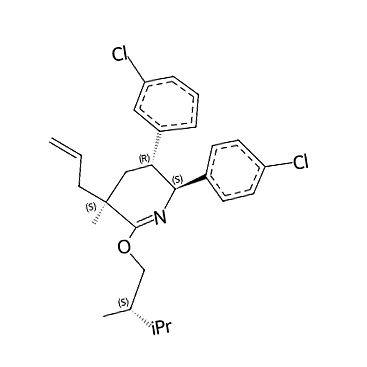 C=CC[C@@]1(C)C[C@H](c2cccc(Cl)c2)[C@@H](c2ccc(Cl)cc2)N=C1OC[C@@H](C)C(C)C